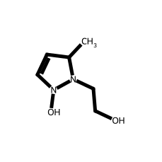 CC1C=CN(O)N1CCO